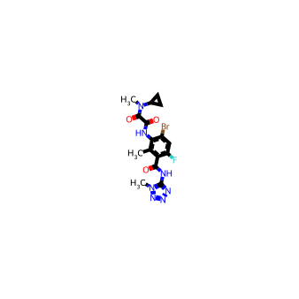 Cc1c(NC(=O)C(=O)N(C)C2CC2)c(Br)cc(F)c1C(=O)Nc1nnnn1C